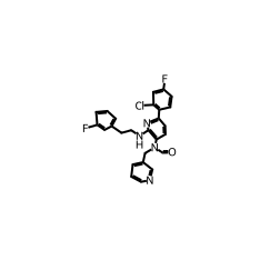 O=CN(Cc1cccnc1)c1ccc(-c2ccc(F)cc2Cl)nc1NCCc1cccc(F)c1